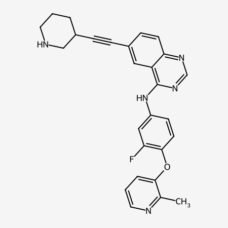 Cc1ncccc1Oc1ccc(Nc2ncnc3ccc(C#CC4CCCNC4)cc23)cc1F